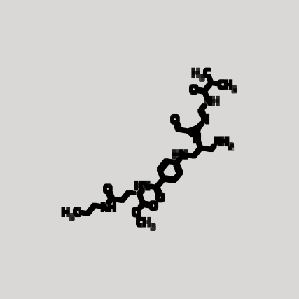 CCCNC(=O)CC[C@H](NC(=O)c1ccc(NCC(CN)N2C(C=O)C2/N=C/NC(=O)C(C)C)cc1)C(=O)OC